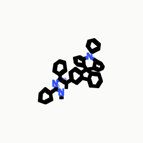 C=N/C(=N\C(=C(/C)c1ccc2c(c1)-c1ccccc1C21c2ccccc2N(c2ccccc2)c2ccccc21)c1ccccc1)c1ccccc1